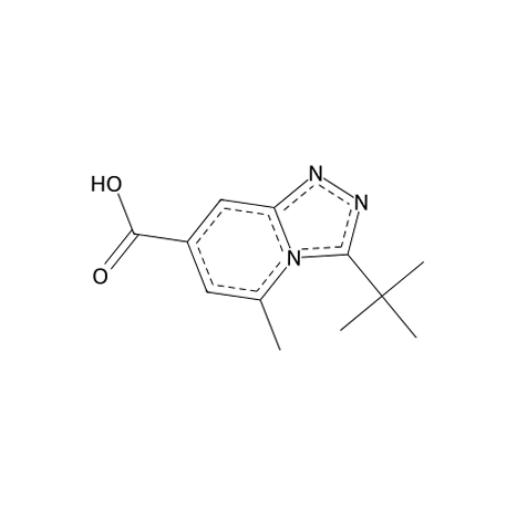 Cc1cc(C(=O)O)cc2nnc(C(C)(C)C)n12